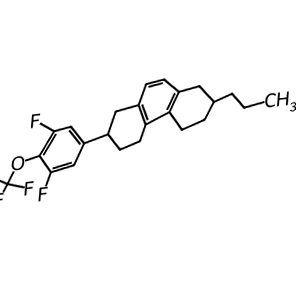 CCCC1CCc2c(ccc3c2CCC(c2cc(F)c(OC(F)(F)F)c(F)c2)C3)C1